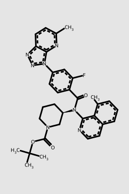 Cc1ccc2nnn(-c3ccc(C(=O)N(c4nccc5cccc(C)c45)[C@@H]4CCCN(C(=O)OC(C)(C)C)C4)c(F)c3)c2n1